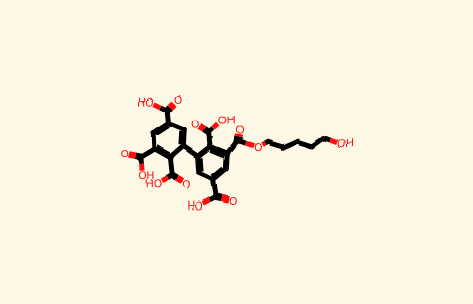 O=C(O)c1cc(C(=O)O)c(C(=O)O)c(-c2cc(C(=O)O)cc(C(=O)OCCCCCO)c2C(=O)O)c1